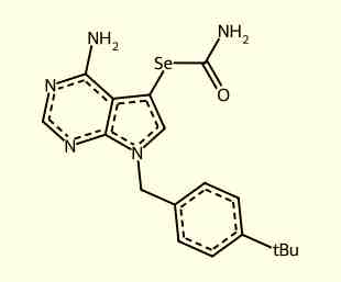 CC(C)(C)c1ccc(Cn2cc([Se]C(N)=O)c3c(N)ncnc32)cc1